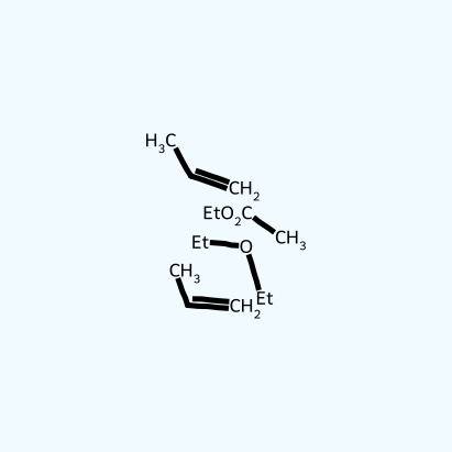 C=CC.C=CC.CCOC(C)=O.CCOCC